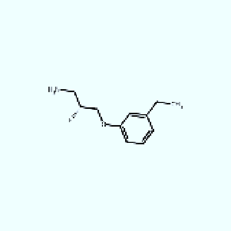 CCc1cccc(OC[C@H](F)CN)c1